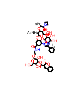 CCC[C@H](OC1C(NC(C)=O)[C@H](O[C@@H]2CC(C(=O)NCCO[C@H]3OC(CO)[C@@H](O)C(OCc4cc5ccccc5oc4=O)C3O)CC(n3cc(-c4ccccc4)nn3)C2O[C@@H]2OC(C)[C@@H](O)C(O)C2O)OC(CO)[C@@H]1O)C(=O)N1CCC1